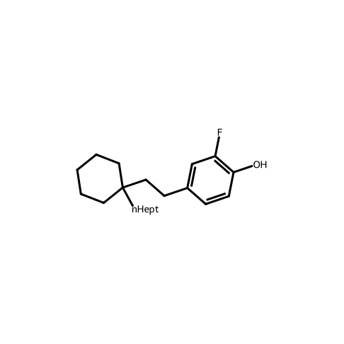 CCCCCCCC1(CCc2ccc(O)c(F)c2)CCCCC1